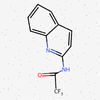 O=C(Nc1ccc2ccccc2n1)C(F)(F)F